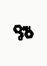 O=S=C1C=CC=CC1Nc1ccccc1